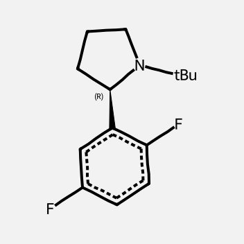 CC(C)(C)N1CCC[C@@H]1c1cc(F)ccc1F